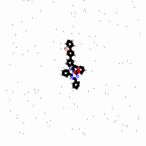 c1ccc(-c2nc(-c3ccccc3)nc(-c3ccccc3-n3c4ccccc4c4cc(-c5ccc6c(c5)oc5ccccc56)ccc43)n2)cc1